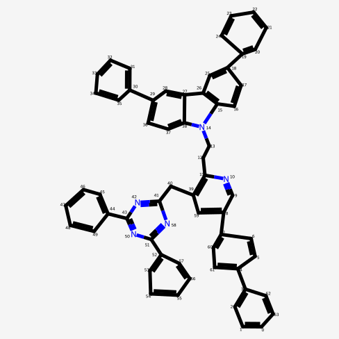 c1ccc(-c2ccc(-c3cnc(CCn4c5ccc(-c6ccccc6)cc5c5cc(-c6ccccc6)ccc54)c(Cc4nc(-c5ccccc5)nc(-c5ccccc5)n4)c3)cc2)cc1